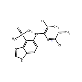 C=N/C(Cl)=N\C(Nc1ccc2[nH]cnc2c1P(C)(C)=O)=C(/C)Cl